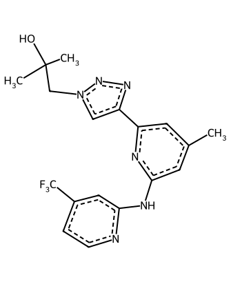 Cc1cc(Nc2cc(C(F)(F)F)ccn2)nc(-c2cn(CC(C)(C)O)nn2)c1